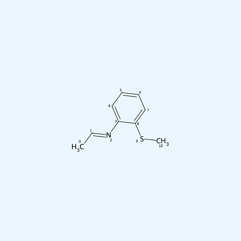 C/C=N/c1ccccc1SC